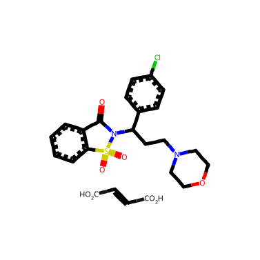 O=C(O)C=CC(=O)O.O=C1c2ccccc2S(=O)(=O)N1C(CCN1CCOCC1)c1ccc(Cl)cc1